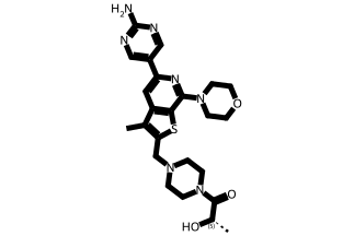 Cc1c(CN2CCN(C(=O)[C@H](C)O)CC2)sc2c(N3CCOCC3)nc(-c3cnc(N)nc3)cc12